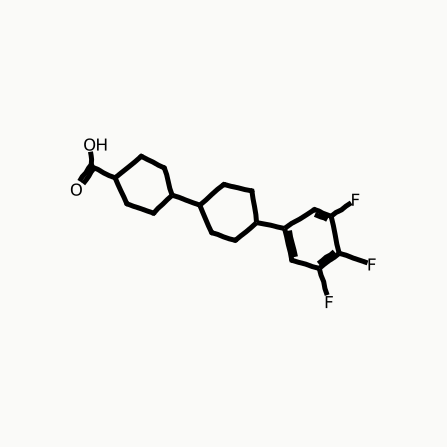 O=C(O)C1CCC(C2CCC(c3cc(F)c(F)c(F)c3)CC2)CC1